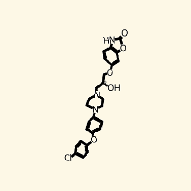 O=c1[nH]c2ccc(OC[C@@H](O)CN3CCN(c4ccc(Oc5ccc(Cl)cc5)cc4)CC3)cc2o1